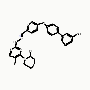 CCC1COCCN1c1nc(N/N=C/c2ccc(Nc3ccc(-c4cccc(O)c4)cc3)cn2)ncc1F